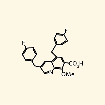 COc1c(C(=O)O)cc(Cc2ccc(F)cc2)c2cc(Cc3ccc(F)cc3)cnc12